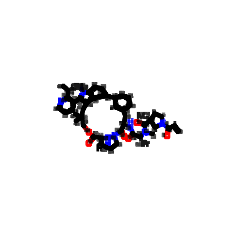 C=CC(=O)N1CC[C@@](C#N)(C(=O)N(C)[C@H](C(=O)N[C@H]2Cc3cccc(c3)-c3ccc4c(c3)c(c(-c3cccnc3[C@H](C)OC)n4CC)CC(C)(C)COC(=O)[C@@H]3CCCN(N3)C2=O)C(C)C)C1